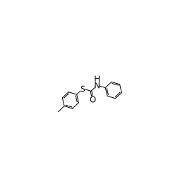 Cc1ccc(SC(=O)Nc2ccccc2)cc1